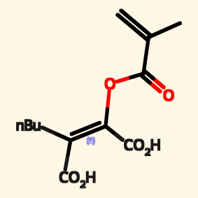 C=C(C)C(=O)O/C(C(=O)O)=C(\CCCC)C(=O)O